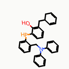 Oc1c(CC2C=CC=CC2)cccc1Pc1ccccc1CN(c1ccccc1)c1ccccc1